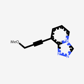 COCC#Cc1cccn2cnnc12